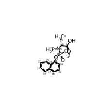 CC[C@H](C(=O)O)N(P)P(=O)(OI)Oc1cccc2ccccc12